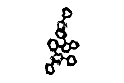 c1ccc(-c2nc(-c3ccccc3)nc(-c3ccccc3-c3ccc4ccccc4c3-c3ccc4sc(-c5ccccc5)nc4c3)n2)cc1